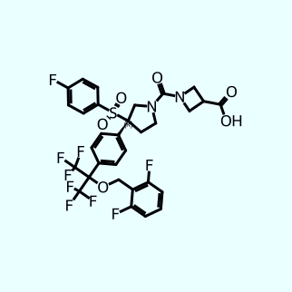 O=C(O)C1CN(C(=O)N2CC[C@](c3ccc(C(OCc4c(F)cccc4F)(C(F)(F)F)C(F)(F)F)cc3)(S(=O)(=O)c3ccc(F)cc3)C2)C1